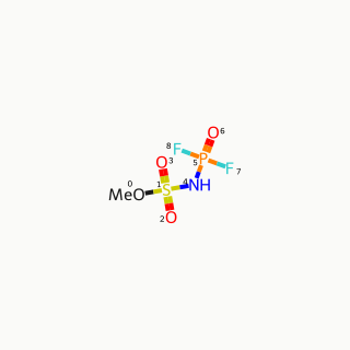 COS(=O)(=O)NP(=O)(F)F